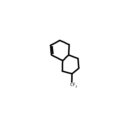 FC(F)(F)C1CCC2CC[C]=CC2C1